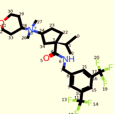 CC(C)[C@]1(C(=O)NCc2cc(C(F)(F)F)cc(C(F)(F)F)c2)CCC([N+](C)(C)C2CCOCC2)C1